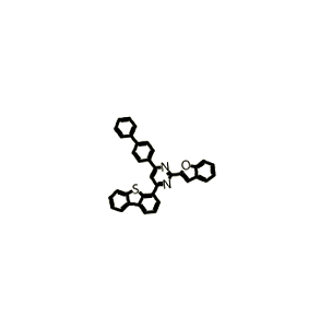 c1ccc(-c2ccc(-c3cc(-c4cccc5c4sc4ccccc45)nc(-c4cc5ccccc5o4)n3)cc2)cc1